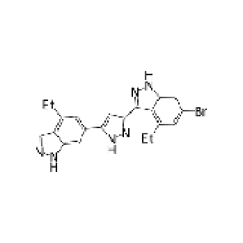 CCc1cc(-c2cc(-c3n[nH]c4cc(Br)cc(CC)c34)n[nH]2)cc2[nH]ncc12